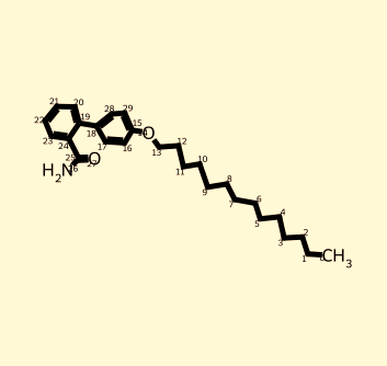 CCCCCCCCCCCCCCOc1ccc(-c2ccccc2C(N)=O)cc1